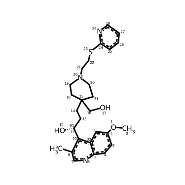 COc1ccc2ncc(C)c([C@H](O)CCC3(CO)CCN(CCSc4ccccn4)CC3)c2c1